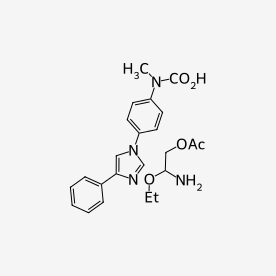 CCOC(N)COC(C)=O.CN(C(=O)O)c1ccc(-n2cnc(-c3ccccc3)c2)cc1